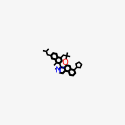 Cc1c2c(c(CC(C)(C)C)c3ccc(CC(C)C)cc13)Oc1cc3c(C4CCCC4)cccc3c3cc[n+](C)c-2c13